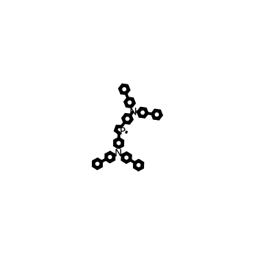 Cp1c(-c2ccc(N(c3ccc(-c4ccccc4)cc3)c3ccc(-c4ccccc4)cc3)cc2)ccc1-c1ccc(N(c2ccc(-c3ccccc3)cc2)c2ccc(-c3ccccc3)cc2)cc1